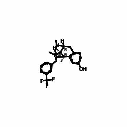 CN1CC[C@]2(C)c3cc(O)ccc3C[C@@H]1[C@@H]2N(C)Cc1cccc(C(F)(F)F)c1